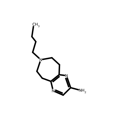 CCCCN1CCc2ncc(N)nc2CC1